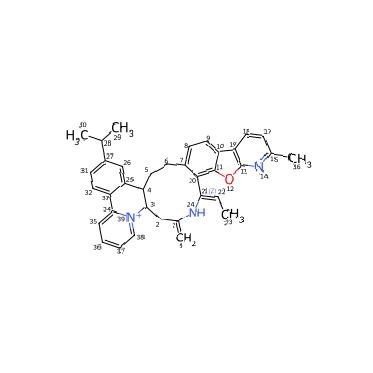 C=C1CC2C(CCc3ccc4c(oc5nc(C)ccc54)c3/C(=C/C)N1)c1cc(C(C)C)ccc1-c1cccc[n+]12